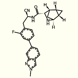 Cn1cc2ccc(-c3ccc(C[C@@H](C#N)NC(=O)[C@H]4N[C@H]5C[C@H]4[C@@H]4C[C@@H]45)c(F)c3)cc2n1